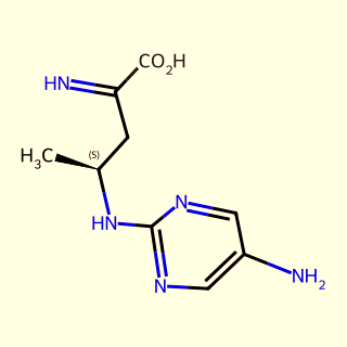 C[C@@H](CC(=N)C(=O)O)Nc1ncc(N)cn1